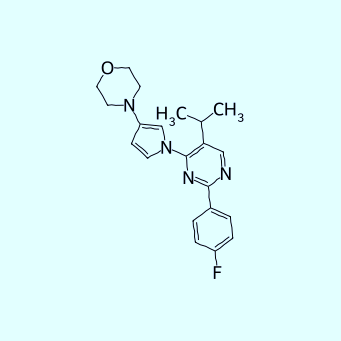 CC(C)c1cnc(-c2ccc(F)cc2)nc1-n1ccc(N2CCOCC2)c1